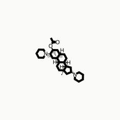 CC(=O)O[C@H]1C[C@@H]2CC[C@H]3[C@@H]4C[C@H](N5CCCCC5)C[C@@]4(C)CC[C@@H]3[C@@]2(C)C[C@@H]1N1CCCCC1